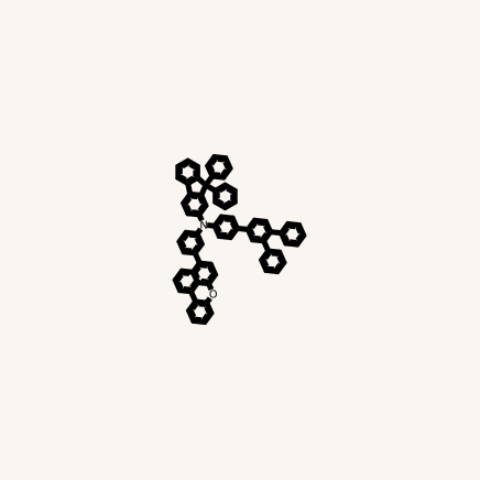 c1ccc(-c2ccc(-c3ccc(N(c4cccc(-c5ccc6c7c(cccc57)-c5ccccc5O6)c4)c4ccc5c(c4)C(c4ccccc4)(c4ccccc4)c4ccccc4-5)cc3)cc2-c2ccccc2)cc1